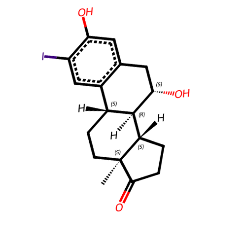 C[C@]12CC[C@@H]3c4cc(I)c(O)cc4C[C@H](O)[C@H]3[C@@H]1CCC2=O